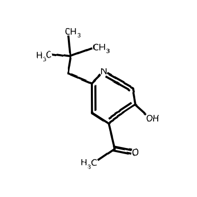 CC(=O)c1cc(CC(C)(C)C)ncc1O